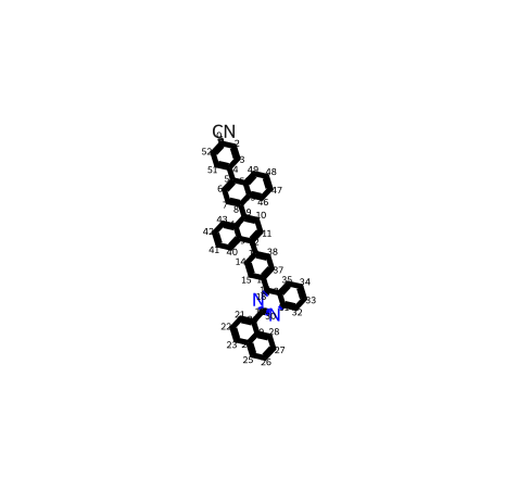 N#Cc1ccc(-c2ccc(-c3ccc(-c4ccc(-c5nc(-c6cccc7ccccc67)nc6ccccc56)cc4)c4ccccc34)c3ccccc23)cc1